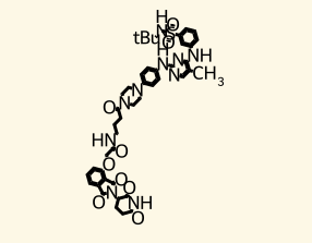 Cc1cnc(Nc2ccc(N3CCN(C(=O)CCCNC(=O)COc4cccc5c4C(=O)N(C4CCC(=O)NC4=O)C5=O)CC3)cc2)nc1Nc1cccc(S(=O)(=O)NC(C)(C)C)c1